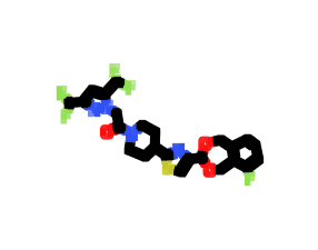 O=C(Cn1nc(C(F)F)cc1C(F)F)N1CCC(c2nc(C3OCc4[c]ccc(F)c4CO3)cs2)CC1